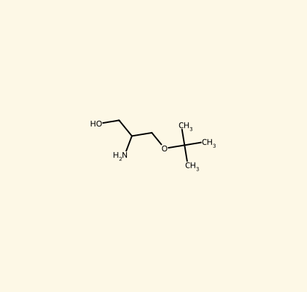 CC(C)(C)OCC(N)CO